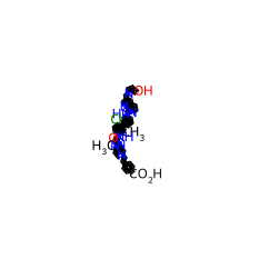 Cc1c(NC(=O)c2nc3c(n2C)CCN(CCC2CCC(C(=O)O)CC2)C3)cccc1-c1cccc(Nc2nccc3cc(CN4CC[C@@H](O)C4)cnc23)c1Cl